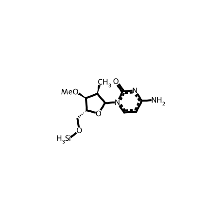 CO[C@@H]1[C@@H](CO[SiH3])OC(n2ccc(N)nc2=O)[C@@H]1C